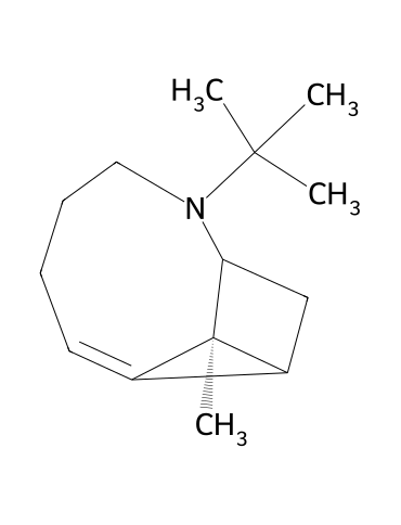 CC(C)(C)N1CCC/C=C2/C3CC1[C@]23C